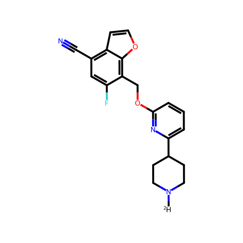 [2H]N1CCC(c2cccc(OCc3c(F)cc(C#N)c4ccoc34)n2)CC1